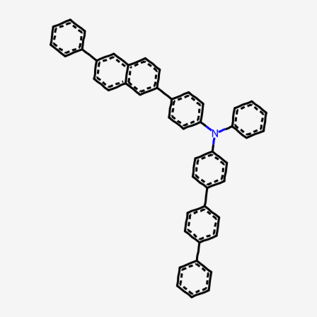 c1ccc(-c2ccc(-c3ccc(N(c4ccccc4)c4ccc(-c5ccc6cc(-c7ccccc7)ccc6c5)cc4)cc3)cc2)cc1